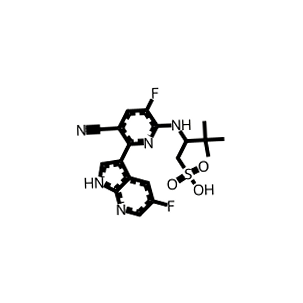 CC(C)(C)C(CS(=O)(=O)O)Nc1nc(-c2c[nH]c3ncc(F)cc23)c(C#N)cc1F